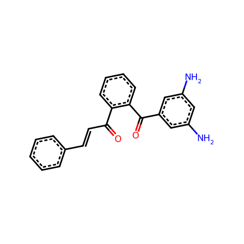 Nc1cc(N)cc(C(=O)c2ccccc2C(=O)C=Cc2ccccc2)c1